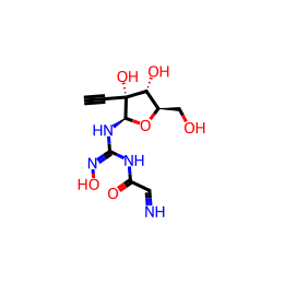 C#C[C@]1(O)[C@H](N/C(=N/O)NC(=O)C=N)O[C@H](CO)[C@H]1O